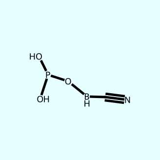 N#CBOP(O)O